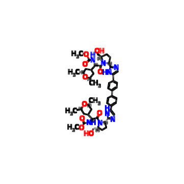 COC(=O)N[C@H](C(=O)N1[C@@H](CO)CC[C@H]1c1ncc(-c2ccc(-c3ccc(-c4cnc([C@@H]5CC[C@H](CO)N5C(=O)[C@@H](NC(=O)OC)C5C[C@@H](C)O[C@H](C)C5)[nH]4)cc3)cc2)[nH]1)C1C[C@@H](C)O[C@H](C)C1